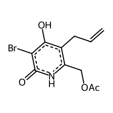 C=CCc1c(COC(C)=O)[nH]c(=O)c(Br)c1O